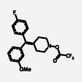 COc1cccc(C(=C2CCN(OC(=O)C(F)(F)F)CC2)c2ccc(F)cc2)c1